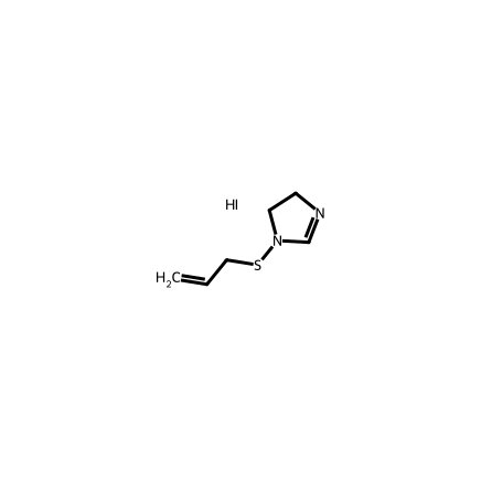 C=CCSN1C=NCC1.I